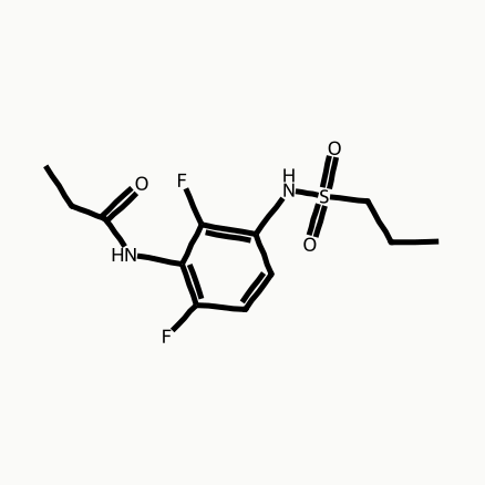 CCCS(=O)(=O)Nc1ccc(F)c(NC(=O)CC)c1F